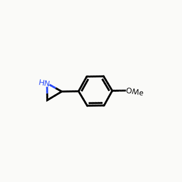 COc1ccc(C2CN2)cc1